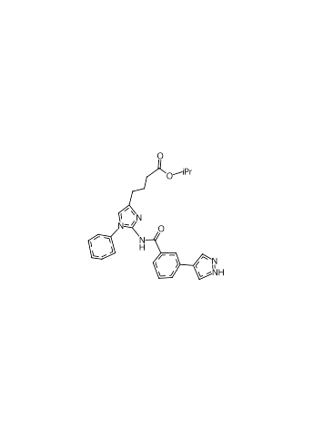 CC(C)OC(=O)CCCc1cn(-c2ccccc2)c(NC(=O)c2cccc(-c3cn[nH]c3)c2)n1